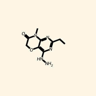 CCc1nc(NN)c2c(n1)N(C)C(=O)CO2